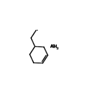 [AlH3].[CH2]CC1CC=CCC1